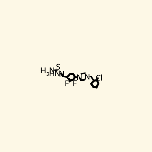 NC(=S)NN=Cc1ccc(N2CCN(Cc3ccccc3Cl)CC2)c(F)c1F